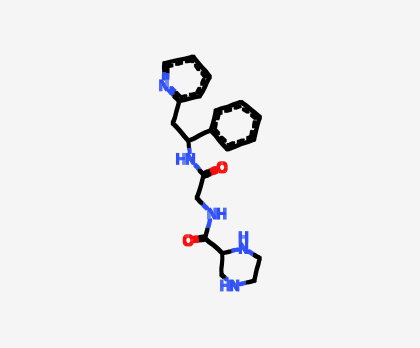 O=C(CNC(=O)C1CNCCN1)NC(Cc1ccccn1)c1ccccc1